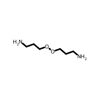 NCCCOOCCCN